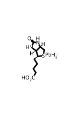 O=C(O)CCCC[C@@H]1SC[C@@H]2NC(=O)N[C@@H]21.[PbH2]